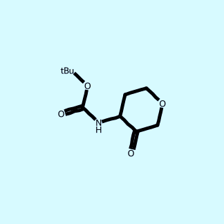 CC(C)(C)OC(=O)NC1CCOCC1=O